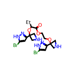 CCC(OC1(c2cc(Br)[nH]n2)CNC1)C(=O)OCCOC1(c2cc(Br)[nH]n2)CNC1